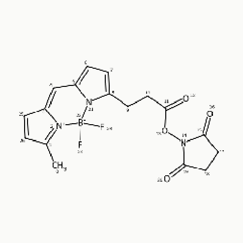 CC1=[N+]2C(=Cc3ccc(CCC(=O)ON4C(=O)CCC4=O)n3[B-]2(F)F)C=C1